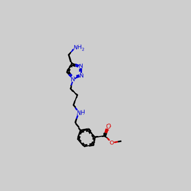 COC(=O)c1cccc(CNCCCn2cc(CN)nn2)c1